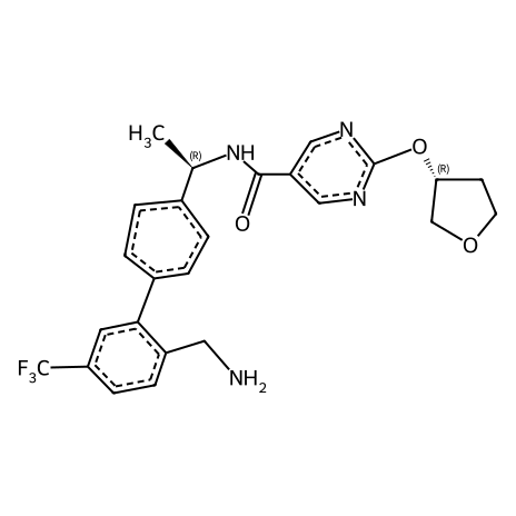 C[C@@H](NC(=O)c1cnc(O[C@@H]2CCOC2)nc1)c1ccc(-c2cc(C(F)(F)F)ccc2CN)cc1